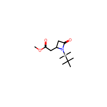 COC(=O)CC1CC(=O)N1[Si](C)(C)C(C)(C)C